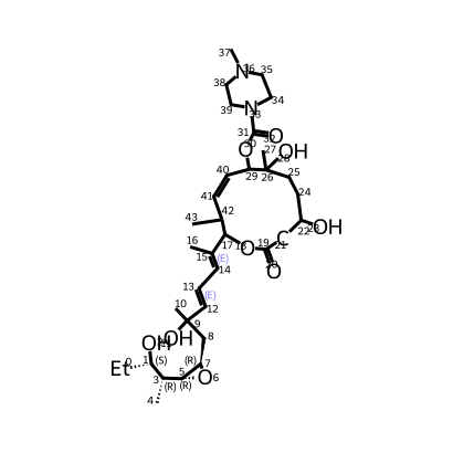 CC[C@H](O)[C@@H](C)[C@H]1O[C@@H]1CC(C)(O)/C=C/C=C(\C)C1OC(=O)CC(O)CCC(C)(O)C(OC(=O)N2CCN(C)CC2)C=CC1C